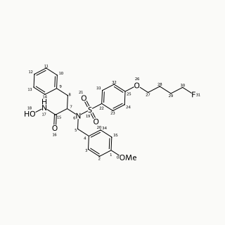 COc1ccc(CN(C(Cc2ccccc2)C(=O)NO)S(=O)(=O)c2ccc(OCCCCF)cc2)cc1